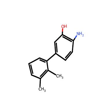 Cc1cccc(-c2ccc(N)c(O)c2)c1C